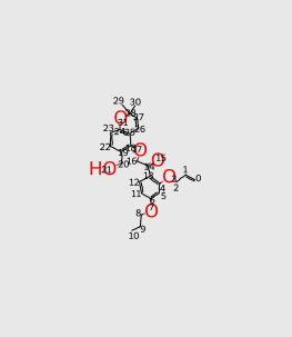 C=CCOc1cc(OCCC)ccc1C(=O)COc1c(CO)ccc2c1C=CC(C)(C)O2